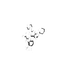 COc1cccc2c1nc(C(F)F)n2-c1nc(N2CCOCC2)nc2c1ncn2C1CCCCO1